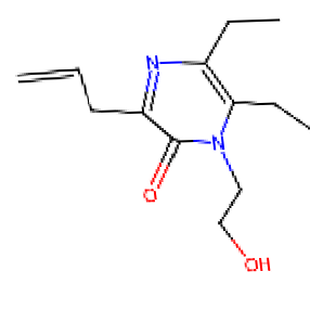 C=CCc1nc(CC)c(CC)n(CCO)c1=O